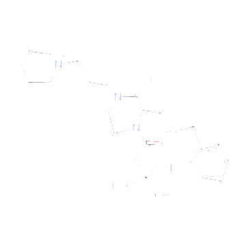 CC(C)(C)OC(=O)N1CCN(CCCN2CCCCC2)C(=O)C1COCc1ccccc1